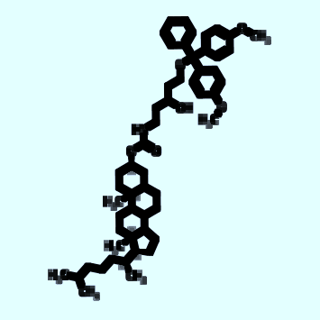 COc1ccc(C(OCCC(O)CCNC(=O)O[C@@H]2CC[C@]3(C)C(CCC4C3CC[C@]3(C)C4CC[C@H]3[C@@H](C)CCCC(C)C)C2)(c2ccccc2)c2ccc(OC)cc2)cc1